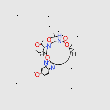 CC[C@@H]1[C@@H]2CN(C(=O)[C@H](C(C)(C)C)NC(=O)O[C@]3(C)C[C@H]3CCCCCc3nc4ccc(OC)cc4nc3O2)[C@@H]1C(C)=O